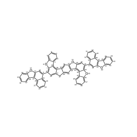 c1ccc2c(c1)oc1c(-c3cc4oc5ccccc5c4c4ccccc34)cc3c(c12)-c1cc2oc4cc(-c5cc6oc7ccccc7c6c6ccccc56)c5oc6ccccc6c5c4c2cc1C3